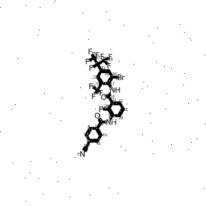 N#Cc1ccc(C(=O)Nc2cccc(C(=O)Nc3c(Br)cc(C(F)(C(F)(F)F)C(F)(F)F)cc3C(F)(F)F)c2F)cc1